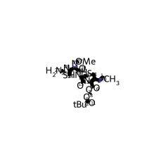 C/C=C/C1=C(C(=O)OCOC(=O)C(C)(C)C)N2C(=O)[C@@H](NC(=O)/C(=N\OC)c3csc(N)n3)[C@H]2SC1